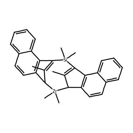 CC1=C2c3c(ccc4ccccc34)[CH]1[Zr]([CH3])([CH3])[CH]1C(C)=C(c3c1ccc1ccccc31)[Si]2(C)C